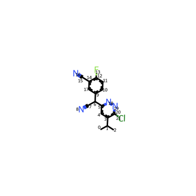 CC(C)c1cc(C(C#N)c2ccc(F)c(C#N)c2)nnc1Cl